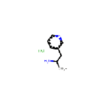 Cl.NC(Cc1cccnc1)C(=O)O